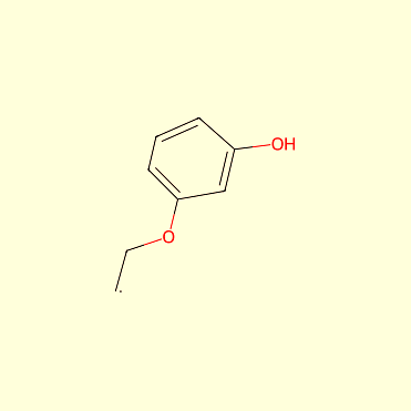 [CH2]COc1cccc(O)c1